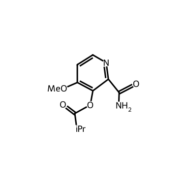 COc1ccnc(C(N)=O)c1OC(=O)C(C)C